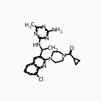 Cc1nc(N)nc(NC(C)c2cc3cccc(Cl)c3nc2N2CCN(C(=O)C3CC3)CC2)n1